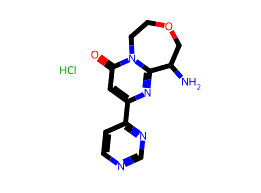 Cl.NC1COCCn2c1nc(-c1ccncn1)cc2=O